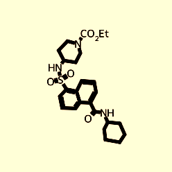 CCOC(=O)N1CCC(NS(=O)(=O)c2cccc3c(C(=O)NC4CCCCC4)cccc23)CC1